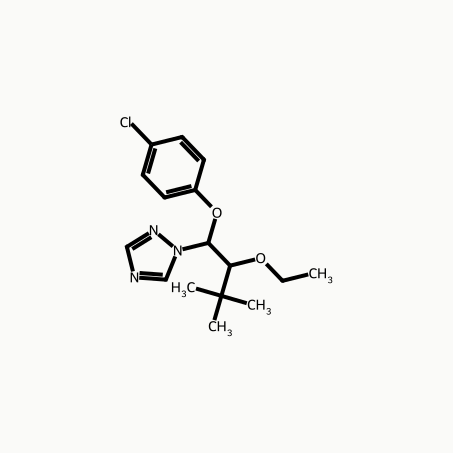 CCOC(C(Oc1ccc(Cl)cc1)n1cncn1)C(C)(C)C